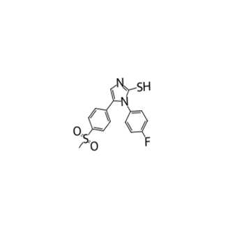 CS(=O)(=O)c1ccc(-c2cnc(S)n2-c2ccc(F)cc2)cc1